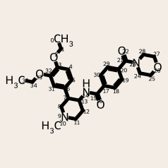 CCOc1ccc(C2CN(C)CCC2NC(=O)c2ccc(C(=O)N3CCOCC3)cc2)cc1OCC